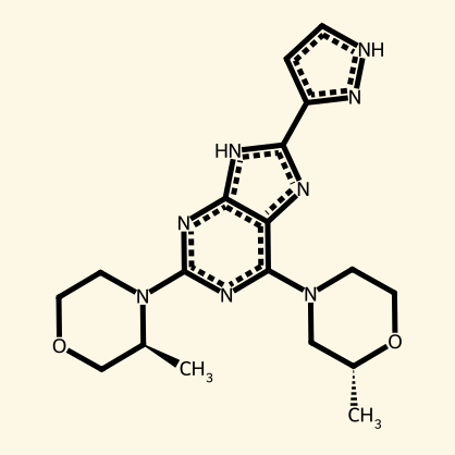 C[C@@H]1CN(c2nc(N3CCOC[C@@H]3C)nc3[nH]c(-c4cc[nH]n4)nc23)CCO1